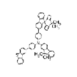 CC1(C)c2ccccc2-c2ccc(N(c3ccc(-c4ccc5c(c4)C4(c6ccccc6-5)c5ccccc5C(C)(C)c5ccccc54)cc3)c3ccc(-c4ccc5sc6ccccc6c5c4)cc3)cc21